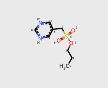 CCCOS(=O)(=O)Cc1cncnc1